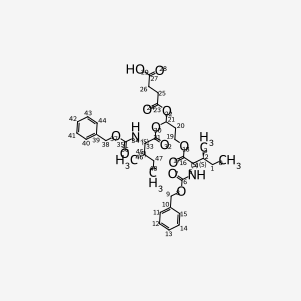 CC[C@H](C)[C@H](NC(=O)OCc1ccccc1)C(=O)OCCC(OC(=O)CCC(=O)O)OC(=O)[C@@H](NC(=O)OCc1ccccc1)[C@@H](C)CC